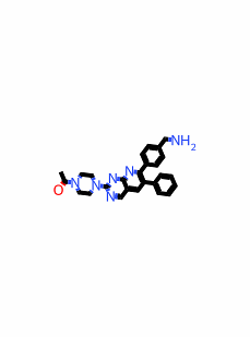 CC(=O)N1CCN(c2ncc3cc(-c4ccccc4)c(-c4ccc(CN)cc4)nc3n2)CC1